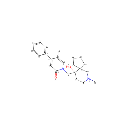 Cc1cn(CC2(O)CCN(C)CC23CCCC3)c(=O)cc1-c1ccccc1